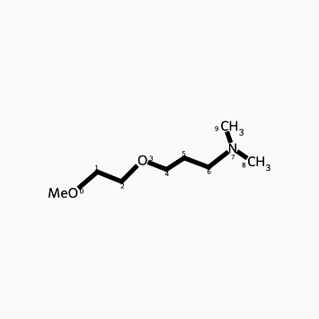 COCCOCCCN(C)C